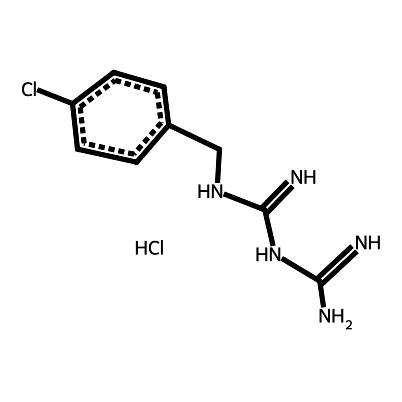 Cl.N=C(N)NC(=N)NCc1ccc(Cl)cc1